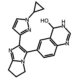 OC1NC=Nc2ccc(-c3c(-c4ccn(C5CC5)n4)nc4n3CCC4)cc21